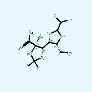 CC1(C)O[C@@H]([C@@H]2OC(C(F)F)O[C@@H]2CO)[C@](O)(C(=O)O)O1